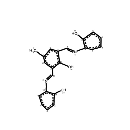 Cc1cc(C=Nc2ccccc2O)c(O)c(C=Nc2ccccc2O)c1